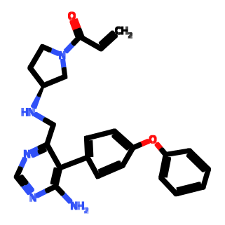 C=CC(=O)N1CC[C@H](NCc2ncnc(N)c2-c2ccc(Oc3ccccc3)cc2)C1